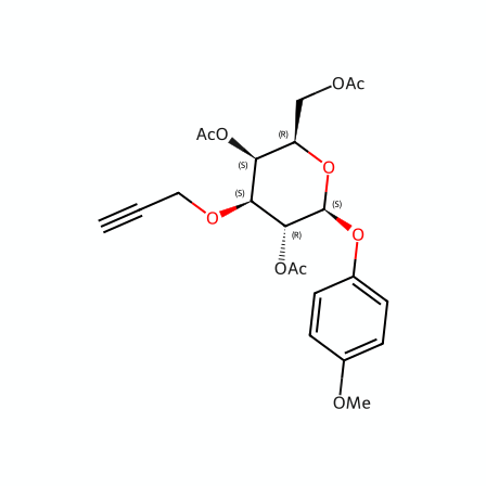 C#CCO[C@H]1[C@@H](OC(C)=O)[C@@H](COC(C)=O)O[C@@H](Oc2ccc(OC)cc2)[C@@H]1OC(C)=O